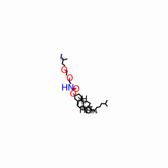 C/C=C(\C)CCOCCOCCNC(=O)OC1CC[C@@]2(C)C(=CC[C@H]3[C@@H]4CC[C@H]([C@H](C)CCCC(C)C)[C@@]4(C)CC[C@@H]32)C1